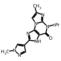 CCCn1c(=O)c2[nH]c(-c3cnn(C)c3)nc2n2cc(C)nc12